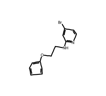 Brc1ccnc(NCCOc2ccccc2)c1